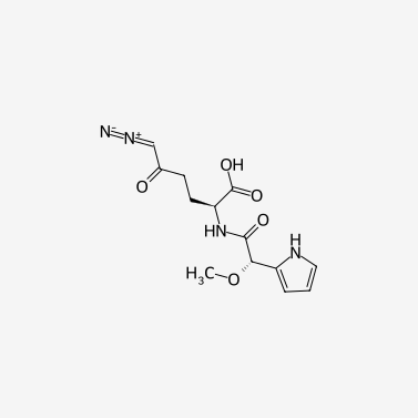 CO[C@H](C(=O)N[C@@H](CCC(=O)C=[N+]=[N-])C(=O)O)c1ccc[nH]1